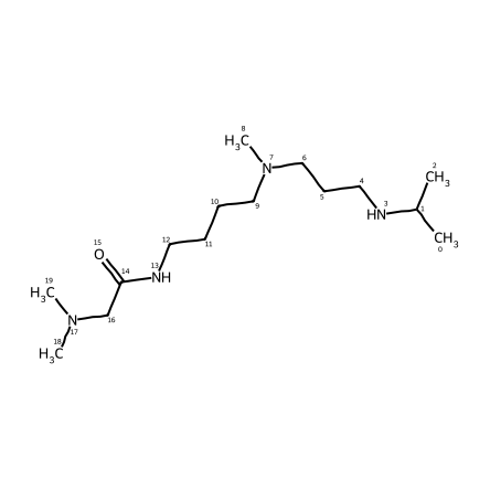 CC(C)NCCCN(C)CCCCNC(=O)CN(C)C